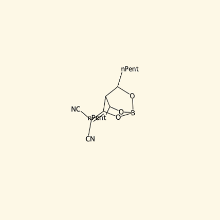 CCCCCC1OB2OC(=C(C#N)C#N)C1C(CCCCC)O2